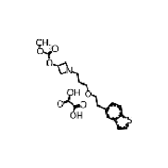 COC(=O)OC1CN(CCCOCCc2ccc3sccc3c2)C1.O=C(O)C(=O)O